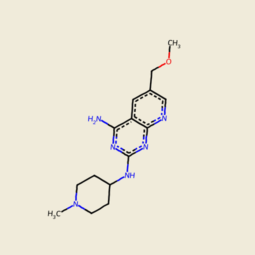 COCc1cnc2nc(NC3CCN(C)CC3)nc(N)c2c1